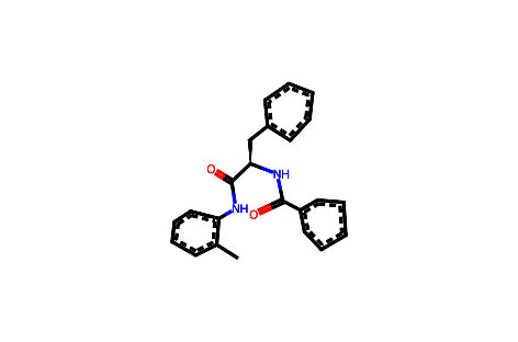 Cc1ccccc1NC(=O)[C@@H](Cc1ccccc1)NC(=O)c1ccccc1